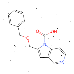 O=C(O)n1c(COCc2ccccc2)cc2cnccc21